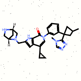 CC1CC(c2cccc(-n3cc(C4CC4)c4cc(CN5C[C@@H]6C[C@H]5CN6)[nH]c4c3=O)c2)(c2nncn2C)C1